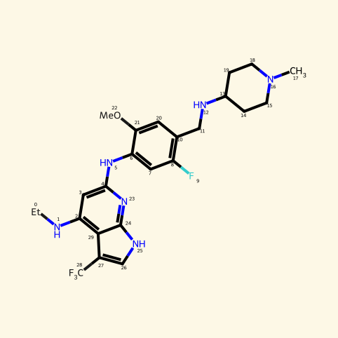 CCNc1cc(Nc2cc(F)c(CNC3CCN(C)CC3)cc2OC)nc2[nH]cc(C(F)(F)F)c12